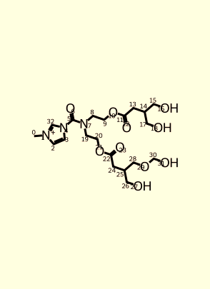 C[n+]1ccn(C(=O)N(CCOC(=O)CC(CO)CO)CCOC(=O)CC(CO)COCO)c1